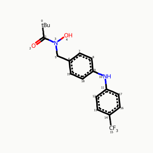 CC(C)(C)C(=O)N(O)Cc1ccc(Nc2ccc(C(F)(F)F)cc2)cc1